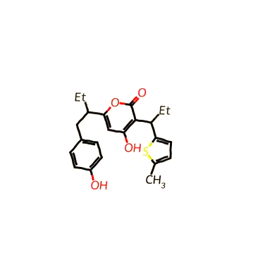 CCC(Cc1ccc(O)cc1)c1cc(O)c(C(CC)c2ccc(C)s2)c(=O)o1